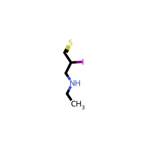 CCNCC(I)C=S